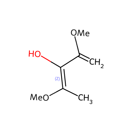 C=C(OC)/C(O)=C(\C)OC